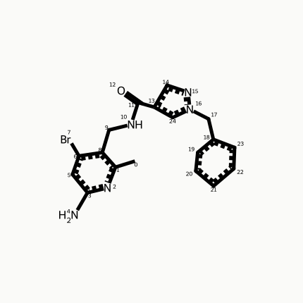 Cc1nc(N)cc(Br)c1CNC(=O)c1cnn(Cc2ccccc2)c1